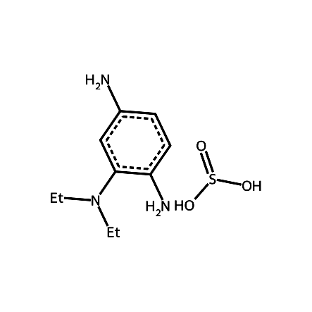 CCN(CC)c1cc(N)ccc1N.O=S(O)O